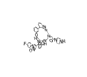 O=C1NCCN(CC(=O)N2CCNCC2)CCn2cc3c(cccc3n2)-c2cccc(c2)O[C@H]2C[C@@H]1N(C(=O)c1cnn(-c3ccc(F)cc3Cl)c1)C2